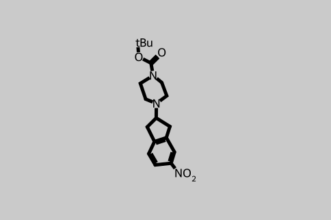 CC(C)(C)OC(=O)N1CCN(C2Cc3ccc([N+](=O)[O-])cc3C2)CC1